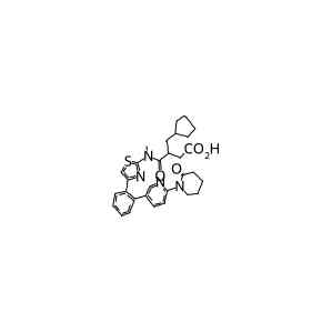 CN(C(=O)C(CC(=O)O)CC1CCCC1)c1nc(-c2ccccc2-c2ccc(N3CCCCC3=O)nc2)cs1